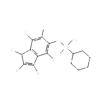 CC(C)[Si](Oc1c(F)c(F)c2c(c1F)C(F)=C(F)[C]2F)(C1CCCCC1)C(C)(C)C